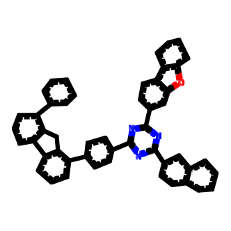 c1ccc(-c2cccc3c2Cc2c(-c4ccc(-c5nc(-c6ccc7ccccc7c6)nc(-c6ccc7c(c6)oc6ccccc67)n5)cc4)cccc2-3)cc1